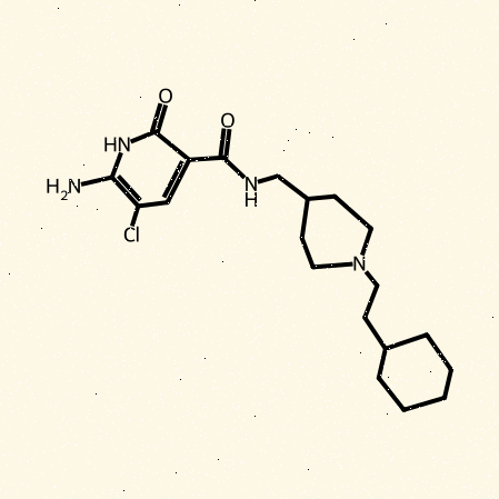 Nc1[nH]c(=O)c(C(=O)NCC2CCN(CCC3CCCCC3)CC2)cc1Cl